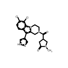 CN1CC(C(=O)N2CCn3c(c(-c4cn[nH]c4)c4ccc(Cl)c(Cl)c43)C2)CC1=O